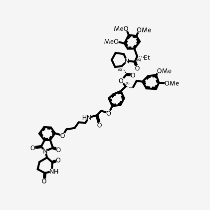 CC[C@H](C(=O)N1CCCC[C@H]1C(=O)O[C@H](CCc1ccc(OC)c(OC)c1)c1ccc(OCC(=O)NCCCCOc2cccc3c2C(=O)N(C2CCC(=O)NC2=O)C3=O)cc1)c1cc(OC)c(OC)c(OC)c1